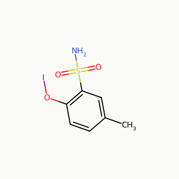 Cc1ccc(OI)c(S(N)(=O)=O)c1